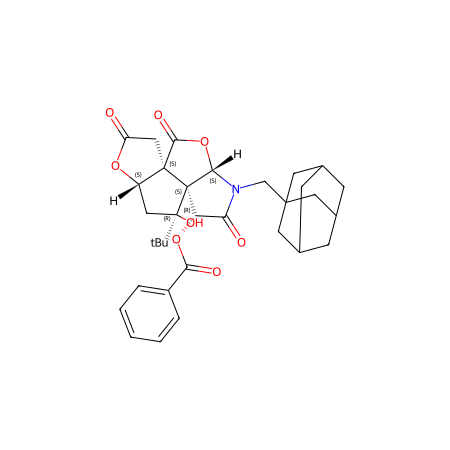 CC(C)(C)[C@]1(O)C[C@@H]2OC(=O)C[C@@]23C(=O)O[C@@H]2N(CC45CC6CC(CC(C6)C4)C5)C(=O)[C@H](OC(=O)c4ccccc4)[C@]213